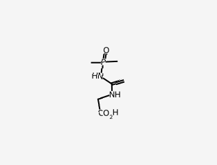 C=C(NCC(=O)O)NP(C)(C)=O